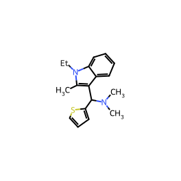 CCn1c(C)c(C(c2cccs2)N(C)C)c2ccccc21